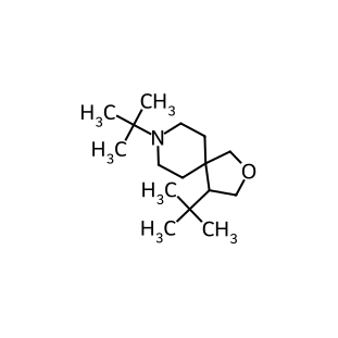 CC(C)(C)C1COCC12CCN(C(C)(C)C)CC2